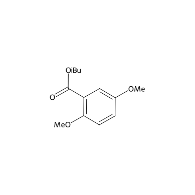 [CH2]C(C)COC(=O)c1cc(OC)ccc1OC